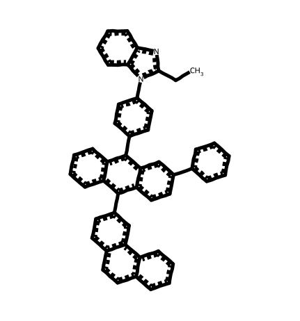 CCc1nc2ccccc2n1-c1ccc(-c2c3ccccc3c(-c3ccc4ccc5ccccc5c4c3)c3ccc(-c4ccccc4)cc23)cc1